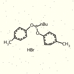 Br.CCCCP(Oc1ccc(C)cc1)Oc1ccc(C)cc1